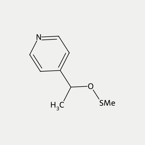 CSOC(C)c1ccncc1